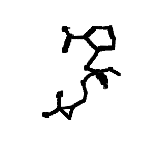 COP(=S)(OCC1CC1(Cl)Cl)Oc1ccccc1[N+](=O)[O-]